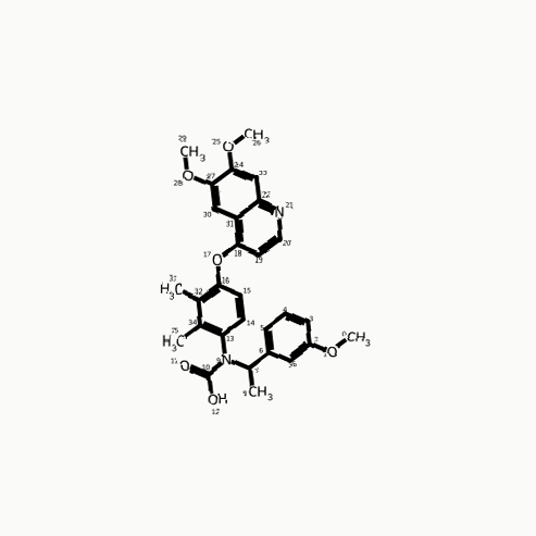 COc1cccc(C(C)N(C(=O)O)c2ccc(Oc3ccnc4cc(OC)c(OC)cc34)c(C)c2C)c1